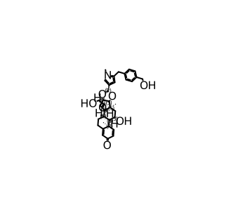 Cn1cc([C@@H]2O[C@@H]3C[C@H]4[C@@H]5CCC6=CC(=O)C=C[C@]6(C)[C@H]5[C@@H](O)C[C@]4(C)[C@]3(C(=O)CO)O2)cc1Cc1ccc(CO)cc1